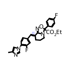 CCOC(=O)C1(c2ccc(F)cc2)ON=C2/C(=C/c3ccc(-n4cnc(C)c4)c(F)c3)CCCN21